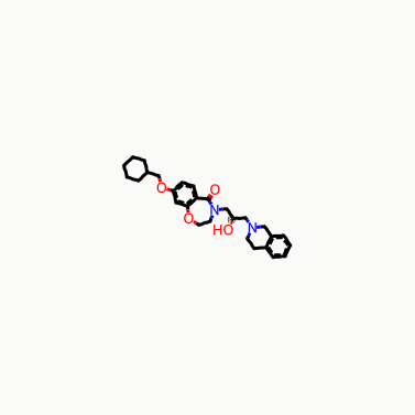 O=C1c2ccc(OCC3CCCCC3)cc2OCCN1C[C@H](O)CN1CCc2ccccc2C1